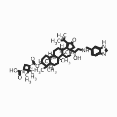 CC(C)C1=C2[C@H]3CC[C@@H]4[C@@]5(C)CC[C@H](OC(=O)[C@H]6C[C@@H](C(=O)O)C6(C)C)C(C)(C)[C@@H]5CC[C@@]4(C)[C@]3(C)CC[C@@]2([C@@H](O)CNCc2ccc3nc[nH]c3c2)CC1=O